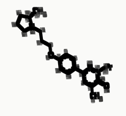 Cc1cc(-c2ccc(OCCCN3CCC[C@H]3C)cc2)nn(C(C)C)c1=O